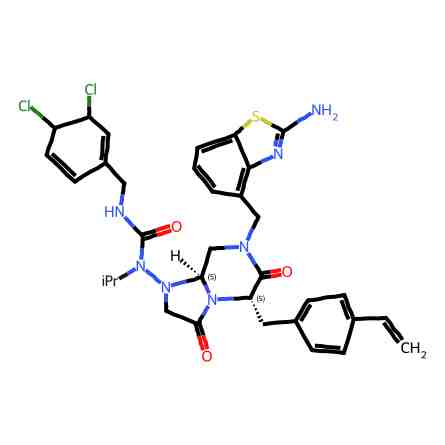 C=Cc1ccc(C[C@H]2C(=O)N(Cc3cccc4sc(N)nc34)C[C@H]3N2C(=O)CN3N(C(=O)NCC2=CC(Cl)C(Cl)C=C2)C(C)C)cc1